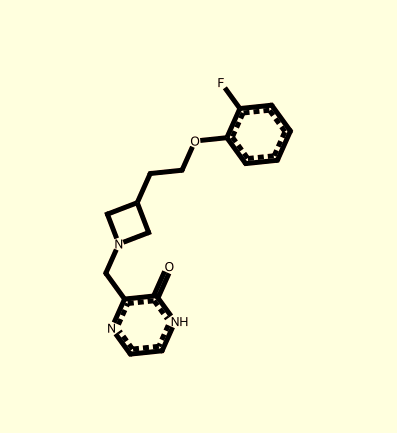 O=c1[nH]ccnc1CN1CC(CCOc2ccccc2F)C1